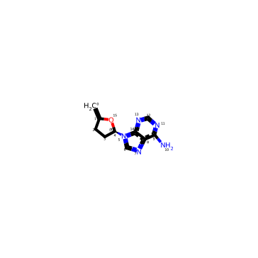 C=C1CC[C@H](n2cnc3c(N)ncnc32)O1